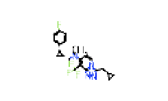 CN(C[C@@H]1C[C@H]1c1ccc(F)cc1)c1ccn2c(CC3CC3)nnc2c1C(F)(F)F